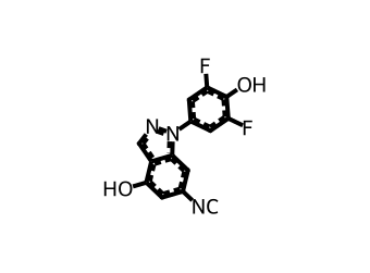 [C-]#[N+]c1cc(O)c2cnn(-c3cc(F)c(O)c(F)c3)c2c1